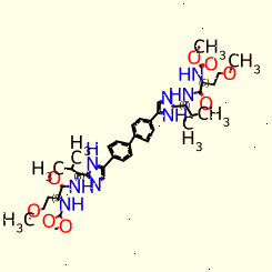 COCC[C@H](NC(=O)OC)C(=O)N[C@H](c1ncc(-c2ccc(-c3ccc(-c4cnc([C@@H](NC(=O)[C@H](CCOC)NC5OCO5)C(C)C)[nH]4)cc3)cc2)[nH]1)C(C)C